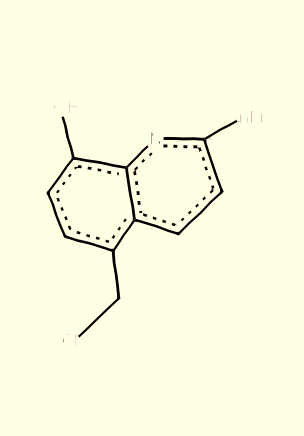 CCCc1ccc2c(CCl)ccc(O)c2n1